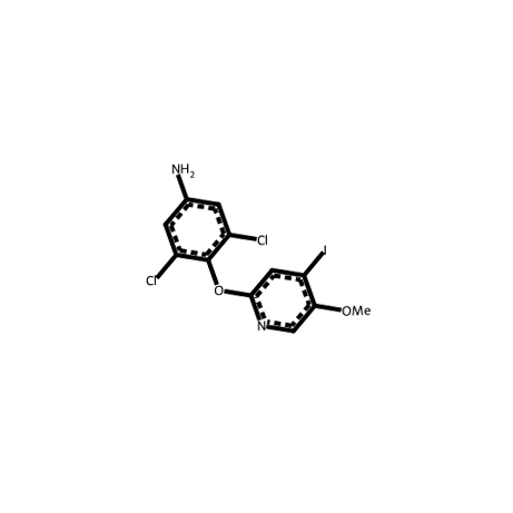 COc1cnc(Oc2c(Cl)cc(N)cc2Cl)cc1I